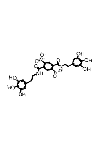 O=C(NCCc1cc(O)c(O)c(O)c1)c1cc([N+](=O)[O-])c(C(=O)NCCc2cc(O)c(O)c(O)c2)cc1[N+](=O)[O-]